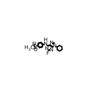 CS(=O)(=O)c1ccc(Nc2nc(F)nc3c2ncn3C2CCCCC2)cc1